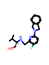 CC(C)[C@H](CO)NCc1nc(N2Cc3ccccc3C2)ccc1F